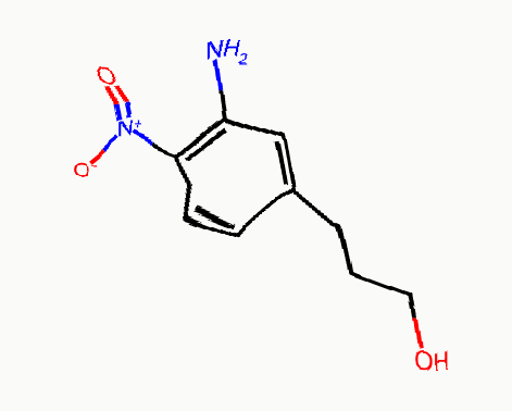 Nc1cc(CCCO)ccc1[N+](=O)[O-]